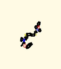 C=C/C=C(\COc1ccccc1)N(c1ccccc1)c1ccc2c(c1)sc1ccc3c(ccc4sc5cc(N(c6ccccc6)c6cccc7c6oc6ccccc67)ccc5c43)c12